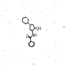 O=C(NC1CN(C2CCCCC2)CC1O)c1ccccc1